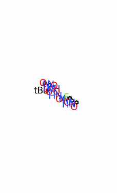 CC(C)(C)OC(=O)Nc1cc(N2CCOCC2)cnc1C(=O)NCCOCCNCC(=O)N1CCN(C(=O)c2cc(Cc3n[nH]c(=O)c4ccccc34)ccc2F)CC1